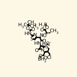 BOC(=O)C1=C(CCl)C[S+]([O-])[C@@H]2[C@H](NC(=O)/C(=N\O[C@H](CC)C(=O)OB)c3csc(NC(=O)OC(C)(C)C)n3)C(=O)N12